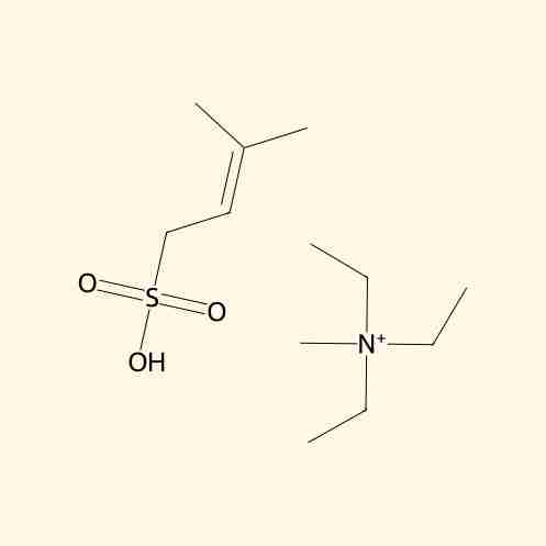 CC(C)=CCS(=O)(=O)O.CC[N+](C)(CC)CC